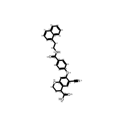 N#Cc1cc2c(cc1Oc1ccc(C(=O)NCCc3cccc4ccccc34)cc1)OCCC2C(=O)O